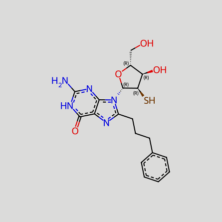 Nc1nc2c(nc(CCCc3ccccc3)n2[C@@H]2O[C@H](CO)[C@@H](O)[C@H]2S)c(=O)[nH]1